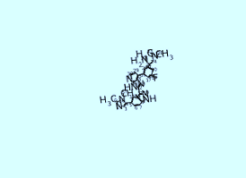 Cc1ncc(-c2ccc3[nH]nc(-c4nc5c(-c6cc(F)cc(C(N)CN(C)C)c6)ccnc5[nH]4)c3c2)n1C